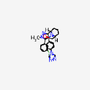 Cn1nc2c(c1-c1cccc(Cl)c1)C[C@H]1CCC[C@@H]2N1C(=O)c1ccc(-n2cnnc2)cc1